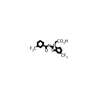 O=C(O)Cn1/c(=N/C(=O)c2cccc(C(F)(F)F)c2)sc2cc(C(F)(F)F)ccc21